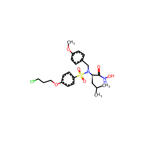 COc1ccc(CN([C@H](CC(C)C)C(=O)NO)S(=O)(=O)c2ccc(OCCCCl)cc2)cc1